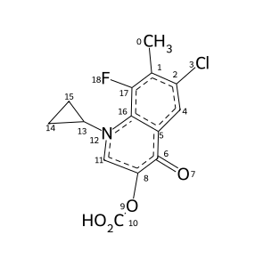 Cc1c(Cl)cc2c(=O)c(OC(=O)O)cn(C3CC3)c2c1F